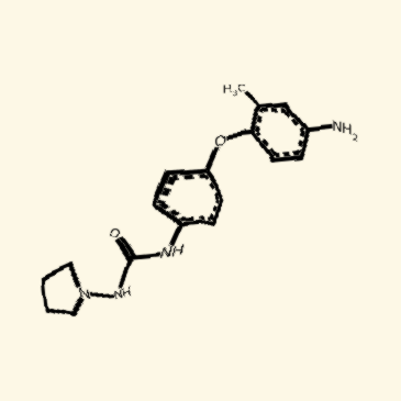 Cc1cc(N)ccc1Oc1ccc(NC(=O)NN2CCCC2)cc1